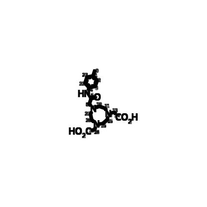 Cc1ccc(NC(=O)CN2CCN(CC(=O)O)CCN(CC(=O)O)CC2)cc1